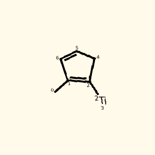 CC1=[C]([2Ti])CC=C1